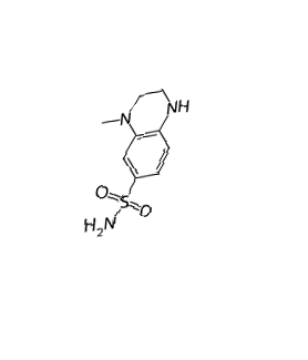 CN1CCNc2ccc(S(N)(=O)=O)cc21